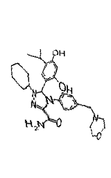 CC(C)c1cc(C2N(c3ccc(CN4CCOCC4)cc3)C(C(N)=O)=NN2C2CCCCC2)c(O)cc1O